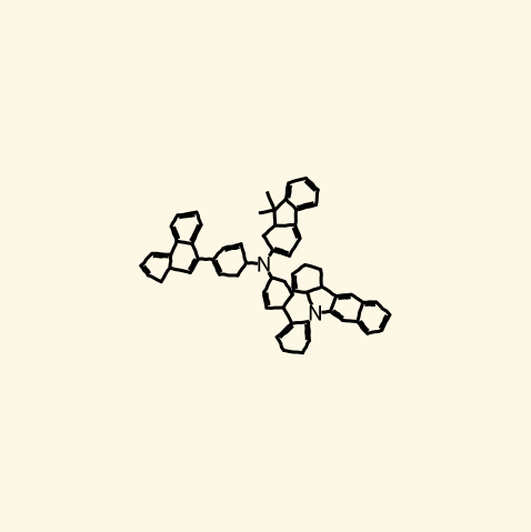 CC1(C)c2ccccc2C2=CC=C(N(C3C=CC(C4=CC5CC=CC=C5c5ccccc54)=CC3)C3C=CC(C4=CCCC=C4N4c5cc6ccccc6cc5C5CCC=CC54)CC3)CC21